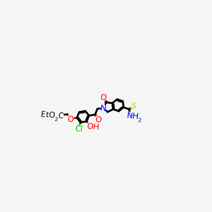 CCOC(=O)COc1ccc(C(=O)CN2Cc3cc(C(N)=S)ccc3C2=O)c(O)c1Cl